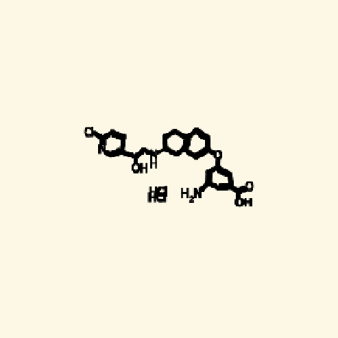 Cl.Cl.Nc1cc(Oc2ccc3c(c2)C[C@@H](NC[C@@H](O)c2ccc(Cl)nc2)CC3)cc(C(=O)O)c1